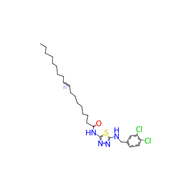 CCCCCCCC/C=C/CCCCCCCC(=O)Nc1nnc(NCc2ccc(Cl)c(Cl)c2)s1